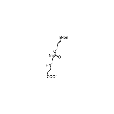 CCCCCCCCCC=CCOC(=O)CCNCCC(=O)[O-].[Na+]